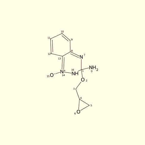 NC1(OCC2CO2)N=c2ccccc2=[N+]([O-])N1